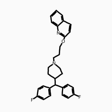 Fc1ccc(C(c2ccc(F)cc2)C2CCN(CCCOc3ccc4ccccc4n3)CC2)cc1